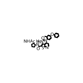 CC(=O)N[C@@H]1CCC[C@H]1NC(=O)c1sc2nccc3c2c1NC(=O)N3c1ccc(Oc2ccccc2)cc1C